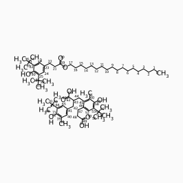 CCCCCCCCCCCCCCCCCCOC(=O)CCc1cc(C(C)(C)C)c(O)c(C(C)(C)C)c1.Cc1cc(CC(Cc2c(CCC(=O)O)cc(C(C)(C)C)c(O)c2C)C(=O)O)cc(C(C)(C)C)c1O